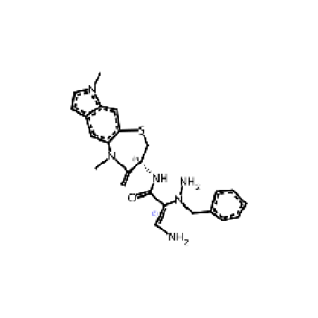 C=C1[C@@H](NC(=O)/C(=C/N)N(N)Cc2ccccc2)CSc2cc3c(ccn3C)cc2N1C